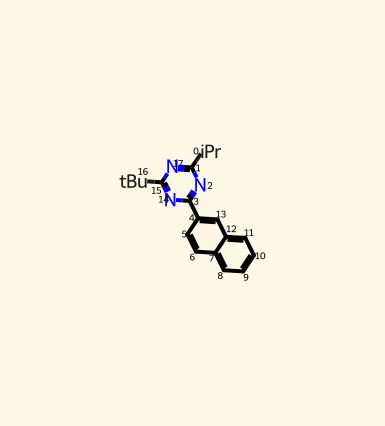 CC(C)c1nc(-c2ccc3ccccc3c2)nc(C(C)(C)C)n1